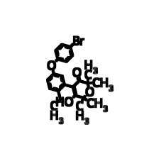 CCc1ccc(Oc2ccc(Br)cc2)cc1C1=C(O)C(C)(C)OC(C)(C)C1=O